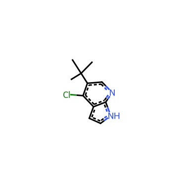 CC(C)(C)c1cnc2[nH]ccc2c1Cl